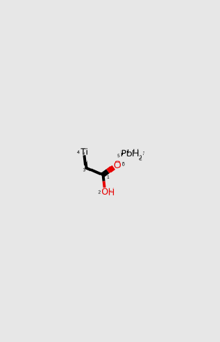 O=C(O)[CH2][Ti].[PbH2]